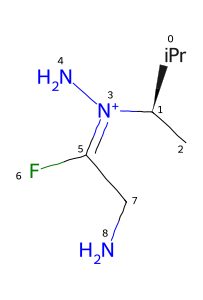 CC(C)[C@@H](C)/[N+](N)=C(/F)CN